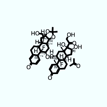 CC(C)=O.CC1(C)O[C@@H]2C[C@H]3[C@@H]4CCC5=CC(=O)C=C[C@]5(C)[C@@]4(F)[C@@H](O)C[C@]3(C)[C@]2(C(=O)CO)O1.C[C@]12C=CC(=O)C=C1CC[C@H]1[C@@H]3C[C@@H](O)[C@](O)(C(=O)CO)[C@@]3(C)C[C@H](O)[C@@]12F